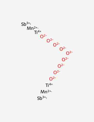 [Mn+2].[Mn+2].[O-2].[O-2].[O-2].[O-2].[O-2].[O-2].[O-2].[O-2].[O-2].[Sb+3].[Sb+3].[Ti+4].[Ti+4]